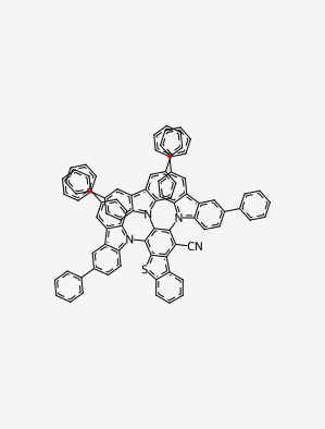 N#Cc1c(-n2c3ccc(-c4ccccc4)cc3c3cc(-c4ccccc4)ccc32)c(-n2c3ccc(-c4ccccc4)cc3c3cc(-c4ccccc4)ccc32)c(-n2c3ccc(-c4ccccc4)cc3c3cc(-c4ccccc4)ccc32)c2sc3ccccc3c12